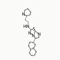 c1ccc(CCNc2nn3c(-c4ccc5ccccc5c4)cnc3s2)nc1